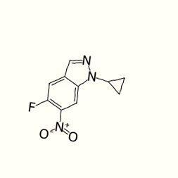 O=[N+]([O-])c1cc2c(cnn2C2CC2)cc1F